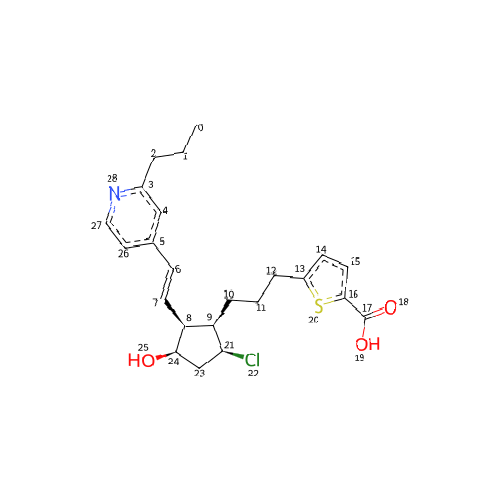 CCCc1cc(C=C[C@H]2[C@@H](CCCc3ccc(C(=O)O)s3)[C@@H](Cl)C[C@H]2O)ccn1